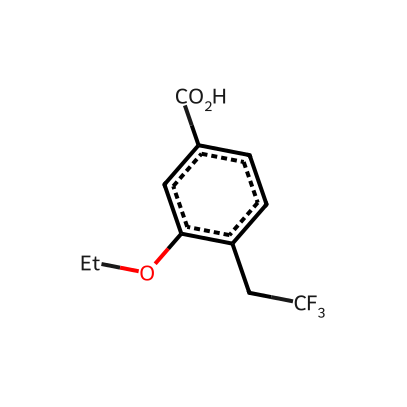 CCOc1cc(C(=O)O)ccc1CC(F)(F)F